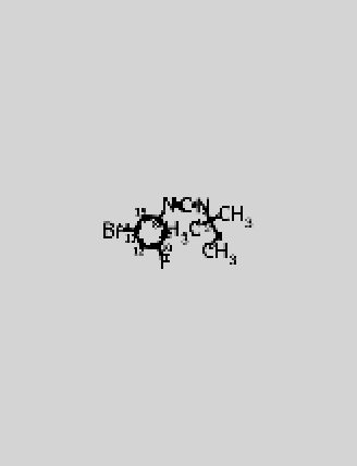 CCC(C)(C)N=C=Nc1cc(F)cc(Br)c1